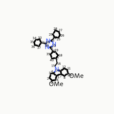 COc1ccc2c(c1)c1cc(OC)ccc1n2CCc1ccc(-c2nc(-c3ccccc3)nc(-c3ccccc3)n2)cc1